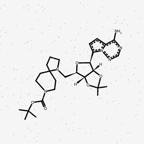 CC(C)(C)OC(=O)N1CCC2(CCCN2C[C@H]2O[C@@H](c3ccc4c(N)ncnn34)[C@@H]3OC(C)(C)O[C@@H]32)CC1